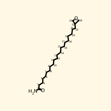 NC(=O)CCCCCCCCCCCCCCCCCCCCC1COC1